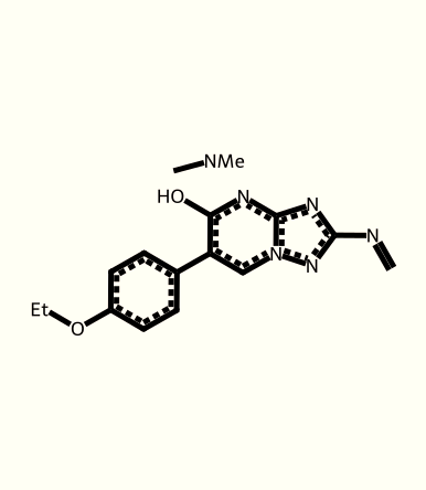 C=Nc1nc2nc(O)c(-c3ccc(OCC)cc3)cn2n1.CNC